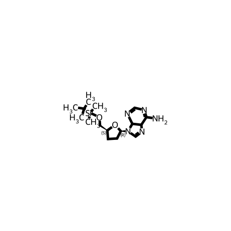 CC(C)(C)[Si](C)(C)OC[C@@H]1CC[C@H](N2C=NC3C(N)=NC=NC32)O1